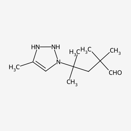 CC1=CN(C(C)(C)CC(C)(C)C=O)NN1